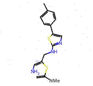 C=C(NC)S/C(=C\N)CNc1ncc(-c2ccc(C)cc2)s1